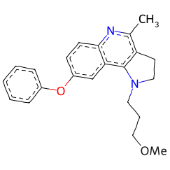 COCCCN1CCc2c(C)nc3ccc(Oc4ccccc4)cc3c21